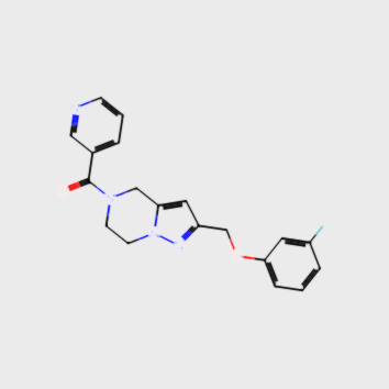 O=C(c1cccnc1)N1CCn2nc(COc3cccc(F)c3)cc2C1